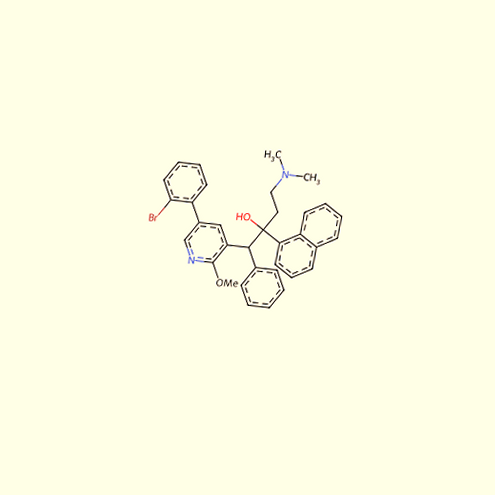 COc1ncc(-c2ccccc2Br)cc1C(c1ccccc1)C(O)(CCN(C)C)c1cccc2ccccc12